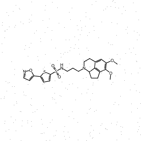 COc1cc2c3c(c1OC)CCC3N(CCCNS(=O)(=O)c1ccc(-c3ccno3)s1)CC2